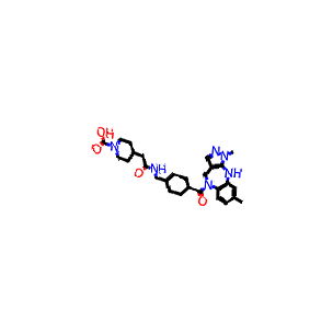 Cc1ccc2c(c1)Nc1c(cnn1C)CN2C(=O)C1CCC(CNC(=O)CC2CCN(C(=O)O)CC2)CC1